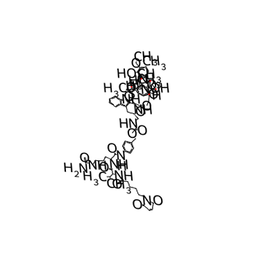 COc1c(C)cc2c(c1O)[C@H]1[C@@H]3[C@@H]4SC[C@]5(N[C@@H](CNC(=O)OCc6ccc(NC(=O)[C@H](CCCNC(N)=O)NC(=O)[C@@H](NC(=O)CCCCCN7C(=O)C=CC7=O)C(C)C)cc6)Cc6c5[nH]c5ccccc65)C(=O)OC[C@@H](c5c6c(c(C)c(OC(C)=O)c54)OCO6)N3C(O)(C2)CN1C